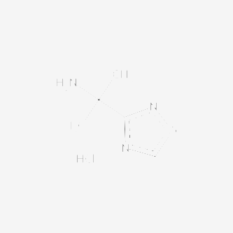 CC(C)(N)c1ncon1.Cl